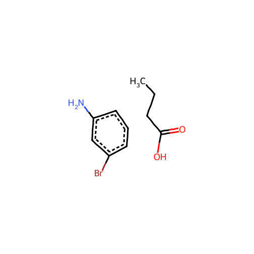 CCCC(=O)O.Nc1cccc(Br)c1